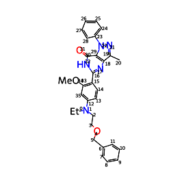 CCN(CCOCc1ccccc1)c1ccc(-c2nc3c(C)nn(-c4ccccc4)c3c(=O)[nH]2)c(OC)c1